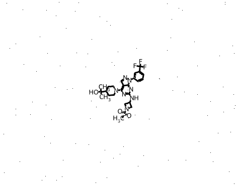 CC(C)(O)C1CCN(c2nc(NC3CN(S(C)(=O)=O)C3)nc3c2cnn3-c2cccc(C(F)(F)F)c2)CC1